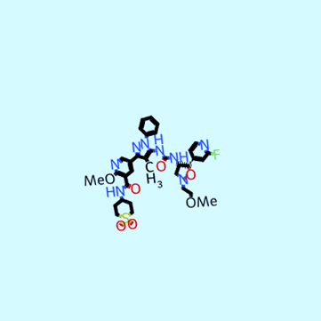 COCCN1C[C@@H](NC(=O)Nc2c(C)c(-c3cnc(OC)c(C(=O)NC4CCS(=O)(=O)CC4)c3)nn2-c2ccccc2)[C@H](c2ccnc(F)c2)O1